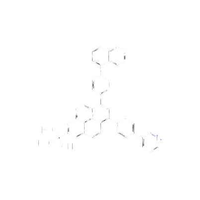 CC(C)(C)c1cc2ccc3c(C4=CCC(c5cccc6ccccc56)C=C4)cc(C4C=CC(c5cccnc5)=CC4)c4ccc(c1)c2c34